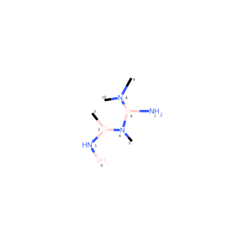 BNB(C)N(C)B(N)N(C)C